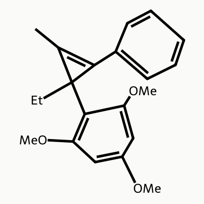 CCC1(c2c(OC)cc(OC)cc2OC)C(C)=C1c1ccccc1